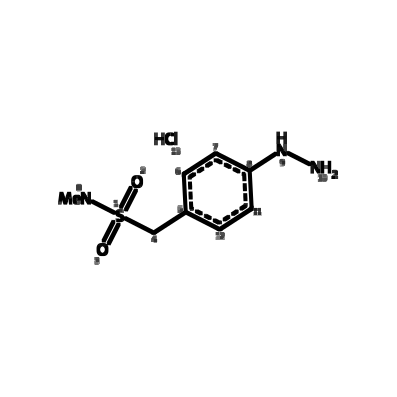 CNS(=O)(=O)Cc1ccc(NN)cc1.Cl